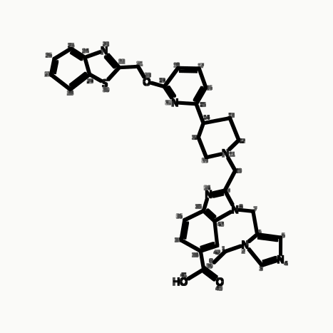 CCn1cncc1Cn1c(CN2CCC(c3cccc(OCc4nc5ccccc5s4)n3)CC2)nc2ccc(C(=O)O)cc21